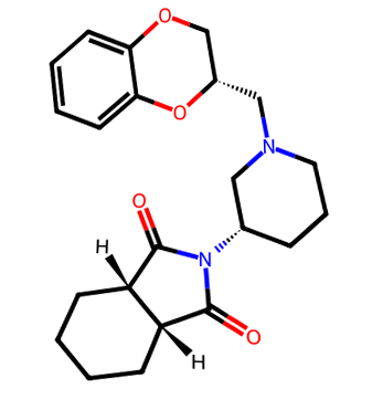 O=C1[C@H]2CCCC[C@H]2C(=O)N1[C@H]1CCCN(C[C@H]2COc3ccccc3O2)C1